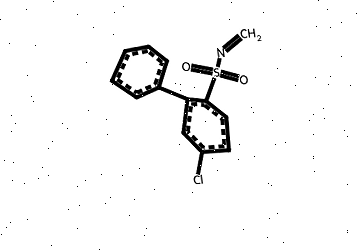 C=NS(=O)(=O)c1ccc(Cl)cc1-c1ccccc1